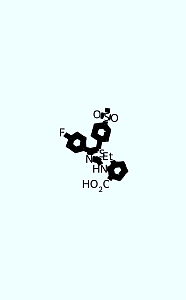 CCc1cccc(C(=O)O)c1Nc1nc(-c2ccc(F)cc2)c(-c2ccc(S(C)(=O)=O)cc2)s1